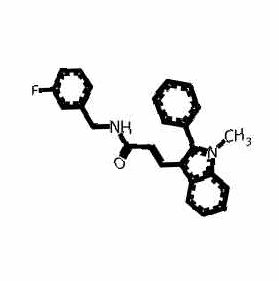 Cn1c(-c2ccccc2)c(C=CC(=O)NCc2cccc(F)c2)c2ccccc21